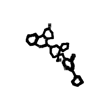 O=C(N1CC[C@@](O)(Cn2cnc(-c3ccccc3)cc2=O)C2(CCCC2)C1)N1CCNCC1c1ccccc1F